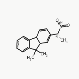 C[C@H](C1=CC2C(C=C1)c1ccccc1C2(C)C)[SH](=O)=O